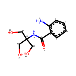 Nc1ccccc1C(=O)NC(CO)(CO)CO